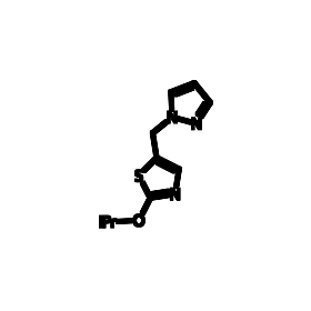 CC(C)Oc1ncc(Cn2cccn2)s1